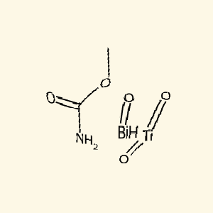 COC(N)=O.[O]=[BiH].[O]=[Ti]=[O]